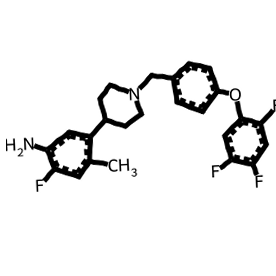 Cc1cc(F)c(N)cc1C1CCN(Cc2ccc(Oc3cc(F)c(F)cc3F)cc2)CC1